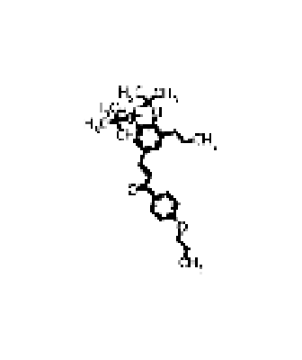 CCCOc1ccc(C(=O)/C=C/c2cc(CCC)c(OC(C)(C)C)c(OC(C)(C)C)c2)cc1